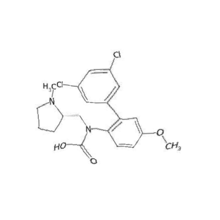 COc1ccc(N(C[C@@H]2CCCN2C)C(=O)O)c(-c2cc(Cl)cc(Cl)c2)c1